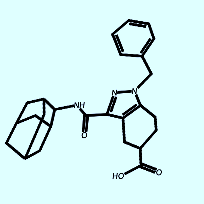 O=C(NC1C2CC3CC(C2)CC1C3)c1nn(Cc2ccccc2)c2c1CC(C(=O)O)CC2